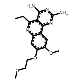 CCc1nc2cc(OCCOC)c(OC)cc2c2nc(N)nc(N)c12